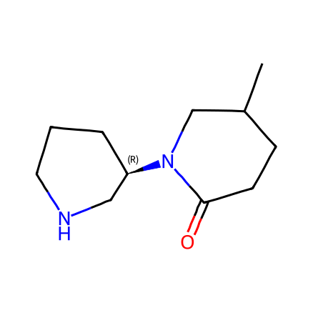 CC1CCC(=O)N([C@@H]2CCCNC2)C1